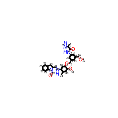 CNC(C)C(=O)Nc1cc(COC)cc(COc2cc(NCC3Cc4ccccc4N3C=O)c(C)cc2OC)c1